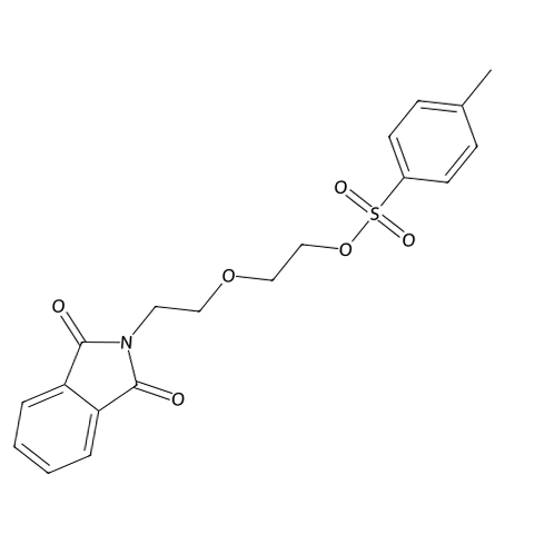 Cc1ccc(S(=O)(=O)OCCOCCN2C(=O)c3ccccc3C2=O)cc1